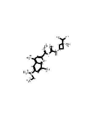 C/N=C(\OC(=N)N[C@H]1C[C@](O)(C(F)F)C1)c1cc(C)c2cc(N(C)CC(F)(F)F)cc(C(C)(C)C)c2n1